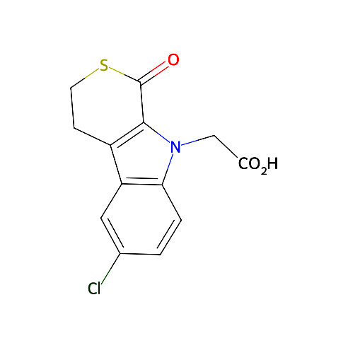 O=C(O)Cn1c2c(c3cc(Cl)ccc31)CCSC2=O